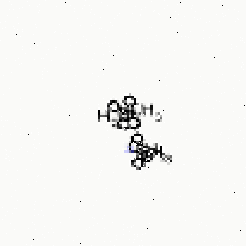 C=C(/C=C\C1C=CC=C(c2ccc(C(C)C(N)(c3ccccc3)c3ccccc3)c3ccccc23)C1)c1ccccc1OC